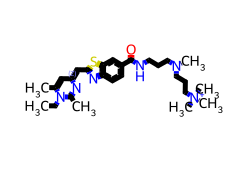 CCN1C(C)=C/C(=C/c2nc3ccc(C(=O)NCCCN(C)CCC[N+](C)(C)C)cc3s2)N=C1C